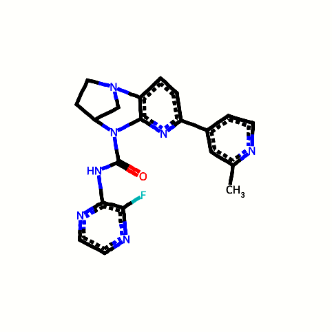 Cc1cc(-c2ccc3c(n2)N(C(=O)Nc2nccnc2F)C2CCN3C2)ccn1